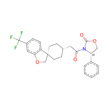 O=C(C[C@H]1CC[C@]2(CC1)COc1cc(C(F)(F)F)ccc12)N1C(=O)OC[C@@H]1c1ccccc1